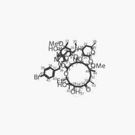 CC[C@H]1OC(=O)[C@H](C)[C@@H](O[C@H]2C[C@@](C)(OC)[C@@H](O)[C@H](C)O2)[C@H](C)[C@@H](O[C@@H]2O[C@H](C)C[C@H](N(C)CCc3cn(Cc4ccc(Br)cc4)nn3)[C@H]2O)[C@](C)(OC)C[C@@H](C)C(=O)[C@H](C)[C@@H](O)[C@]1(C)O